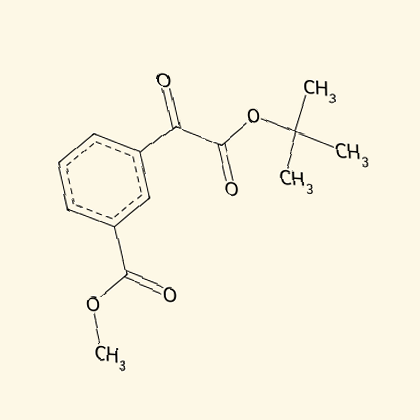 COC(=O)c1cccc(C(=O)C(=O)OC(C)(C)C)c1